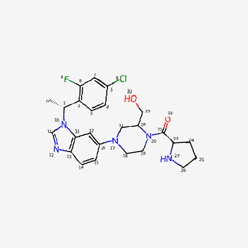 C[C@H](c1ccc(Cl)cc1F)n1cnc2ccc(N3CCN(C(=O)C4CCCN4)C(CO)C3)cc21